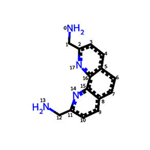 NCc1ccc2ccc3ccc(CN)nc3c2n1